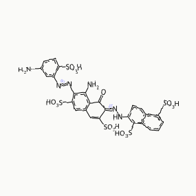 Nc1ccc(S(=O)(=O)O)c(/N=N/c2c(S(=O)(=O)O)cc3c(c2N)C(=O)/C(=N/Nc2ccc4c(S(=O)(=O)O)cccc4c2S(=O)(=O)O)C(S(=O)(=O)O)=C3)c1